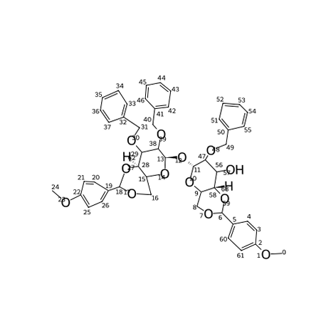 COc1ccc(C2OCC3O[C@H](O[C@H]4OC5COC(c6ccc(OC)cc6)O[C@H]5C(OCc5ccccc5)C4OCc4ccccc4)C(OCc4ccccc4)C(O)[C@@H]3O2)cc1